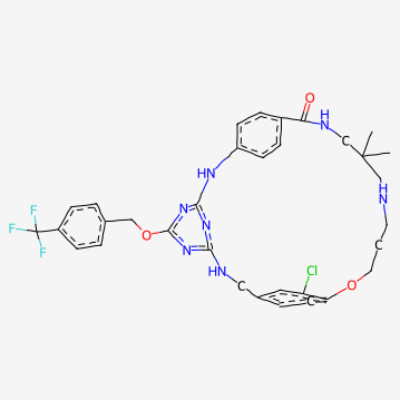 CC1(C)CNCCCOc2ccc(cc2Cl)CNc2nc(nc(OCc3ccc(C(F)(F)F)cc3)n2)Nc2ccc(cc2)C(=O)NC1